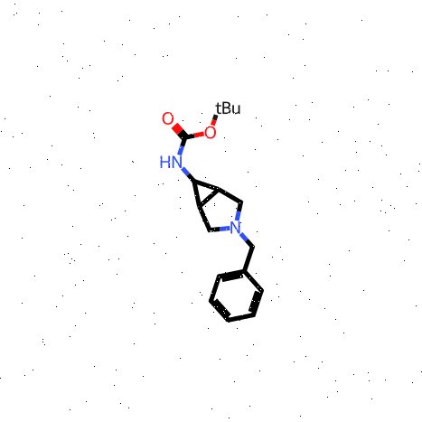 CC(C)(C)OC(=O)NC1C2CN(Cc3ccccc3)CC21